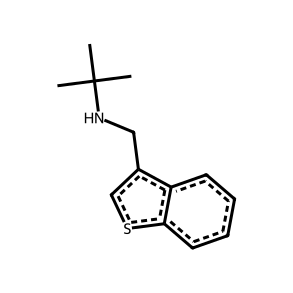 CC(C)(C)NCc1csc2ccccc12